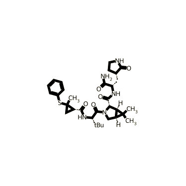 CC(C)(C)[C@H](NC(=O)[C@@H]1CC1(C)Sc1ccccc1)C(=O)N1C[C@H]2[C@@H]([C@H]1C(=O)N[C@@H](C[C@@H]1CCNC1=O)C(N)=O)C2(C)C